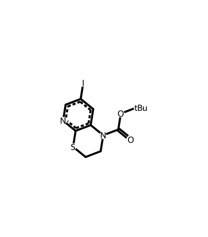 CC(C)(C)OC(=O)N1CCSc2ncc(I)cc21